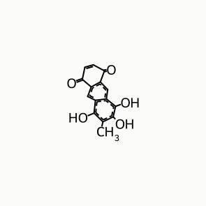 Cc1c(O)c(O)c2cc3c(cc2c1O)C(=O)C=CC3=O